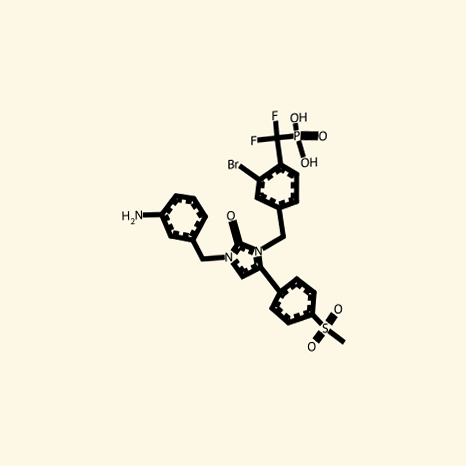 CS(=O)(=O)c1ccc(-c2cn(Cc3cccc(N)c3)c(=O)n2Cc2ccc(C(F)(F)P(=O)(O)O)c(Br)c2)cc1